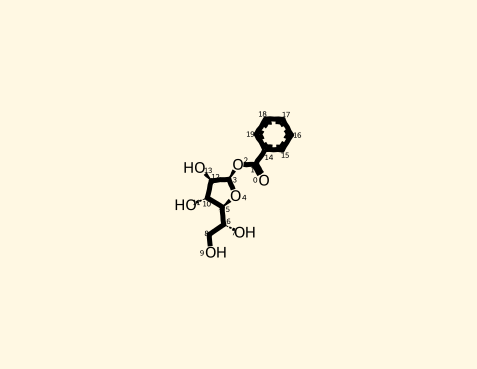 O=C(O[C@H]1O[C@@H]([C@H](O)CO)[C@H](O)[C@H]1O)c1ccccc1